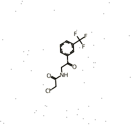 O=C(CCl)NCC(=O)c1cccc(C(F)(F)F)c1